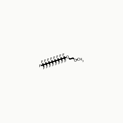 COCCOC(F)(F)C(F)(F)C(F)(F)C(F)(F)C(F)(F)C(F)(F)C(F)(F)C(F)(F)F